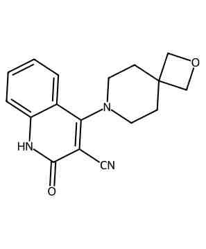 N#Cc1c(N2CCC3(CC2)COC3)c2ccccc2[nH]c1=O